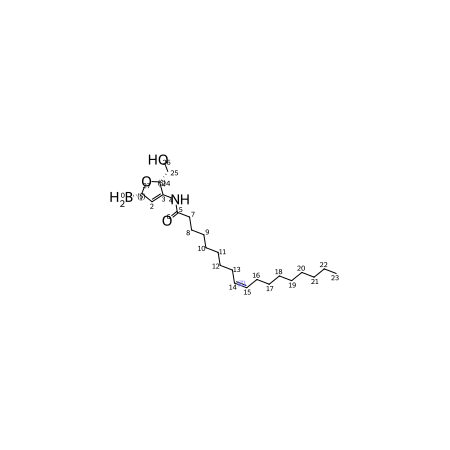 B[C@H]1C=C(NC(=O)CCCCCCC/C=C\CCCCCCCC)[C@@H](CO)O1